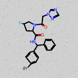 CC(C)c1ccc(C(NC(=O)C2CC(F)CN2C(=O)Cn2cncn2)c2ccccc2)cc1